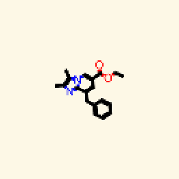 CCOC(=O)c1cc(Cc2ccccc2)c2nc(C)c(C)n2c1